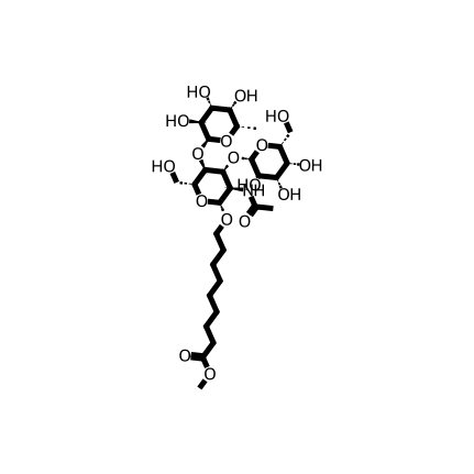 COC(=O)CCCCCCCCO[C@@H]1O[C@H](CO)[C@@H](O[C@@H]2O[C@@H](C)[C@@H](O)[C@@H](O)[C@@H]2O)[C@H](O[C@@H]2O[C@H](CO)[C@H](O)[C@H](O)[C@H]2O)[C@H]1NC(C)=O